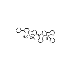 CC1(C)c2cc(-c3ccccc3)ccc2-c2ccc(-n3c4ccccc4c4c5c(ccc43)-c3ccccc3P5(=O)c3ccccc3)cc21